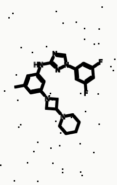 Cc1cc(Nc2ncn(-c3cc(F)cc(F)c3)n2)cc(N2CC(N3CCCCC3)C2)c1